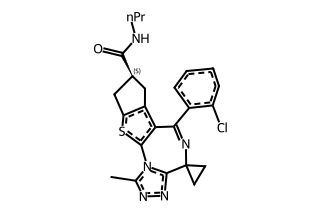 CCCNC(=O)[C@@H]1Cc2sc3c(c2C1)C(c1ccccc1Cl)=NC1(CC1)c1nnc(C)n1-3